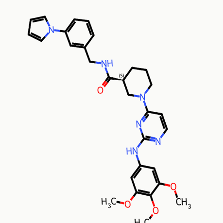 COc1cc(Nc2nccc(N3CCC[C@H](C(=O)NCc4cccc(-n5cccc5)c4)C3)n2)cc(OC)c1OC